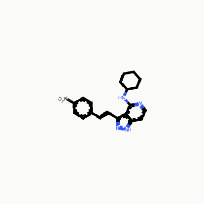 O=[N+]([O-])c1ccc(/C=C/c2n[nH]c3ccnc(NC4CCCCC4)c23)cc1